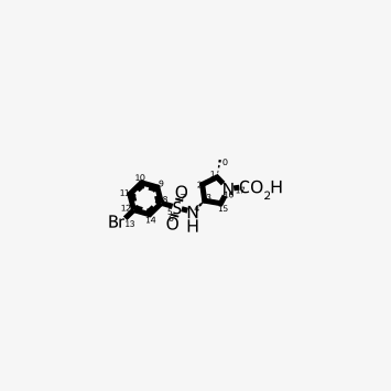 C[C@H]1C[C@@H](NS(=O)(=O)c2cccc(Br)c2)CN1C(=O)O